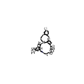 CO[C@@]1(C[C@@H](O)C(C)C)/C=C/C[C@H](C)[C@@H](C)S(=O)(=O)NC(=O)c2ccc3c(c2)N(CCCCc2cc(Cl)ccc2CO3)C[C@@H]2CC[C@H]21